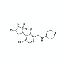 O=C1CN(c2c(O)ccc(CNC3CCOCC3)c2F)S(=O)(=O)N1